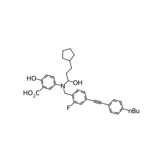 CCCCc1ccc(C#Cc2ccc(CN(c3ccc(O)c(C(=O)O)c3)C(O)CCC3CCCC3)c(F)c2)cc1